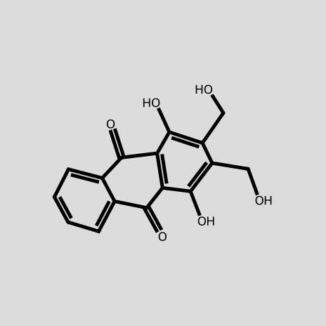 O=C1c2ccccc2C(=O)c2c(O)c(CO)c(CO)c(O)c21